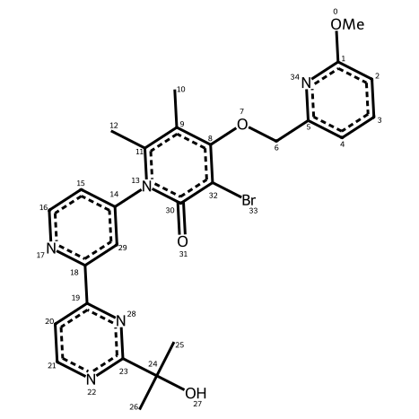 COc1cccc(COc2c(C)c(C)n(-c3ccnc(-c4ccnc(C(C)(C)O)n4)c3)c(=O)c2Br)n1